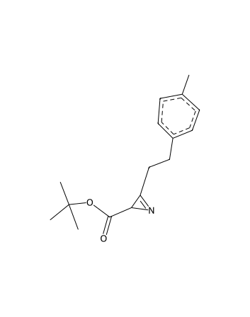 Cc1ccc(CCC2=NC2C(=O)OC(C)(C)C)cc1